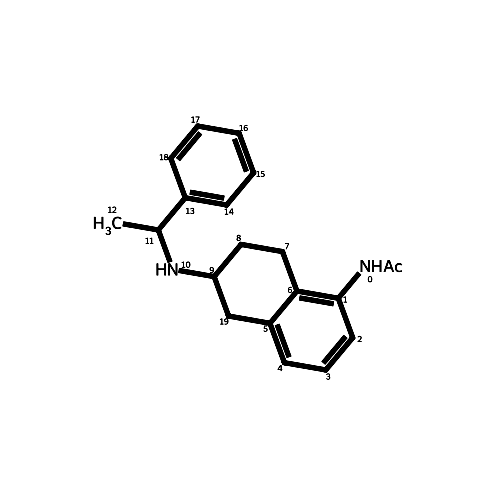 CC(=O)Nc1cccc2c1CCC(NC(C)c1ccccc1)C2